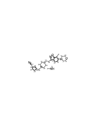 CNC.Cc1c(N2CCOCC2)ccc2c(CCC3CCN(Cc4ccc(C#N)s4)CC3)noc12